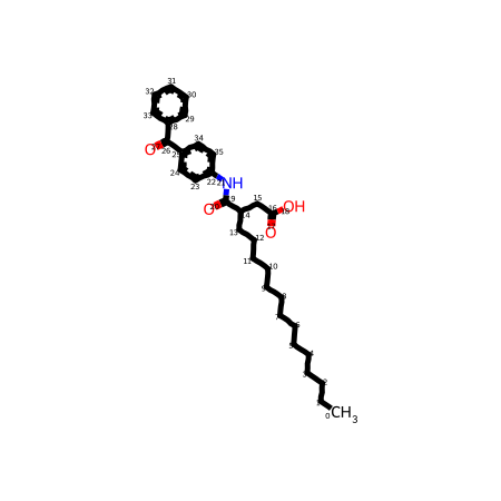 CCCCCCCCCCCCCCC(CC(=O)O)C(=O)Nc1ccc(C(=O)c2ccccc2)cc1